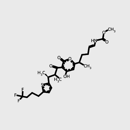 COC(=O)N/C=C/CCC(C)c1cc(O)c(C(=O)C(C)[C@H](C)c2ccc(CCCC(F)(F)F)s2)c(=O)o1